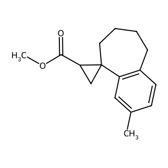 COC(=O)C1CC12CCCCc1ccc(C)cc12